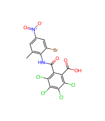 Cc1cc([N+](=O)[O-])cc(Br)c1NC(=O)c1c(Cl)c(Cl)c(Cl)c(Cl)c1C(=O)O